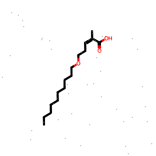 CCCCCCCCCCOCCC=C(C)C(=O)O